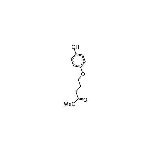 COC(=O)CCCOc1ccc(O)cc1